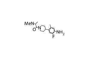 CNC(C)C(=O)N1CCC(c2cc(F)c(N)cc2C)CC1